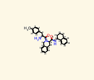 Cc1ccc(C[C@H](N)C(=O)N2Cc3ccccc3CC2C(=O)N[C@@H]2CCCc3ccccc32)cc1